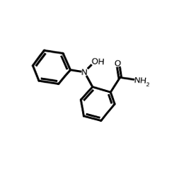 NC(=O)c1ccccc1N(O)c1ccccc1